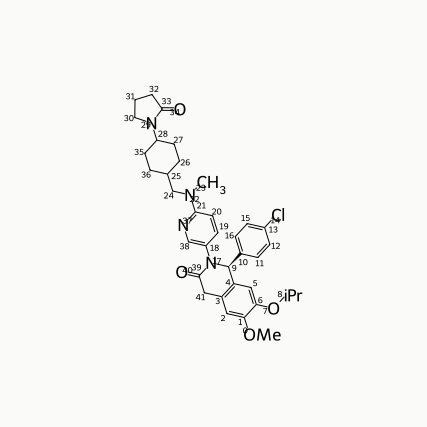 COc1cc2c(cc1OC(C)C)[C@H](c1ccc(Cl)cc1)N(c1ccc(N(C)CC3CCC(N4CCCC4=O)CC3)nc1)C(=O)C2